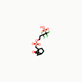 CC1(C)C2CCC1(CS(=O)(=O)OCCC(F)(F)C(F)(F)S(=O)(=O)O)C(=O)C2